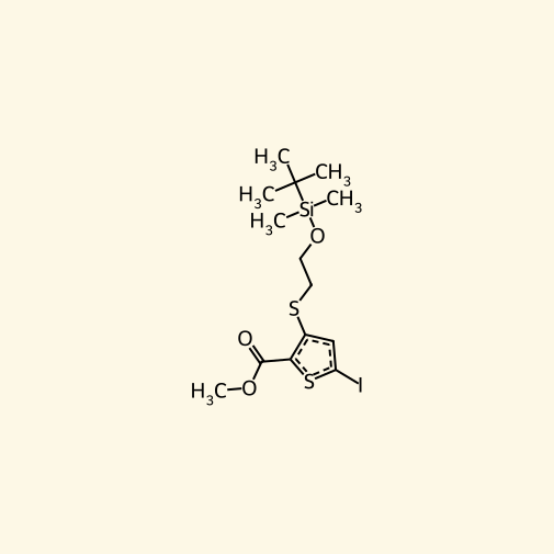 COC(=O)c1sc(I)cc1SCCO[Si](C)(C)C(C)(C)C